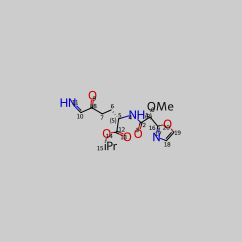 CO[C@@H](C(=O)N[C@@H](CCC(=O)C=N)C(=O)OC(C)C)c1ncco1